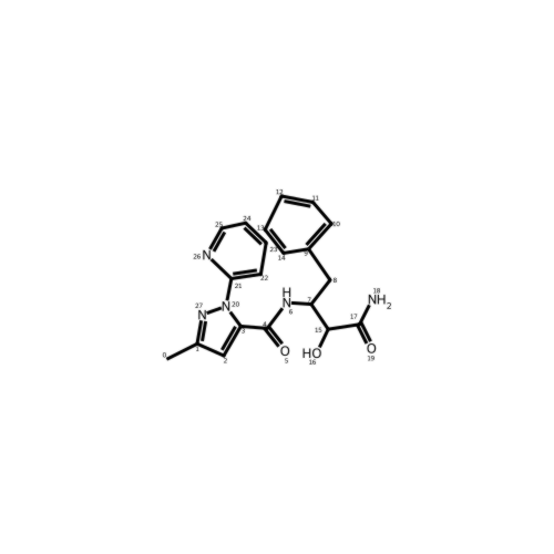 Cc1cc(C(=O)NC(Cc2ccccc2)C(O)C(N)=O)n(-c2ccccn2)n1